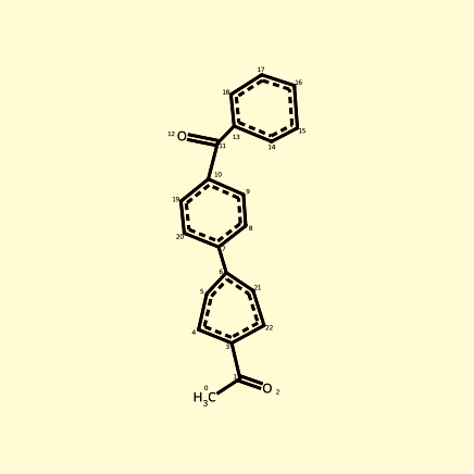 CC(=O)c1ccc(-c2ccc(C(=O)c3ccccc3)cc2)cc1